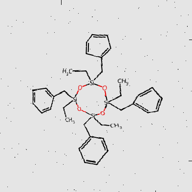 CC[Si]1(Cc2ccccc2)O[Si](CC)(Cc2ccccc2)O[Si](CC)(Cc2ccccc2)O[Si](CC)(Cc2ccccc2)O1